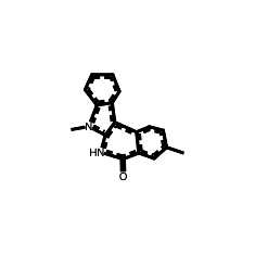 Cc1ccc2c(c1)c(=O)[nH]c1c2c2ccccc2n1C